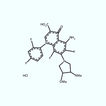 CNC1CN(c2c(F)c(N)c3c(=O)c(C(=O)O)cn(-c4ccc(F)cc4F)c3c2F)CC1OC.Cl